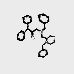 O=C(CN(Cc1ccccc1)CC1COCCN1Cc1ccccc1)C(c1ccccc1)c1ccccc1